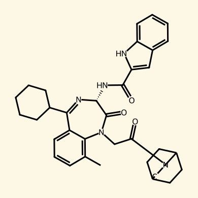 Cc1cccc2c1N(CC(=O)N1CC3CCC(CC3)C1)C(=O)[C@@H](NC(=O)c1cc3ccccc3[nH]1)N=C2C1CCCCC1